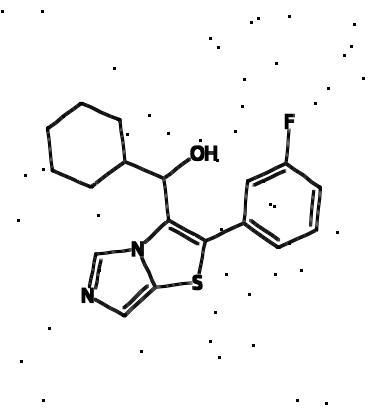 OC(c1c(-c2cccc(F)c2)sc2cncn12)C1CCCCC1